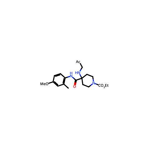 CCOC(=O)N1CCC(NCC(C)=O)(C(=O)Nc2ccc(OC)cc2C)CC1